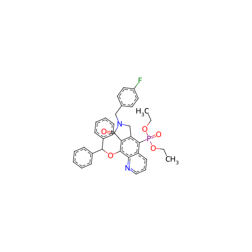 CCOP(=O)(OCC)c1c2c(c(OC(c3ccccc3)c3ccccc3)c3ncccc13)C(=O)N(Cc1ccc(F)cc1)C2